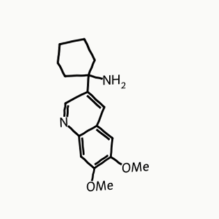 COc1cc2cc(C3(N)CCCCC3)cnc2cc1OC